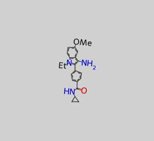 CCn1c(-c2ccc(C(=O)NC3CC3)cc2)c(N)c2cc(OC)ccc21